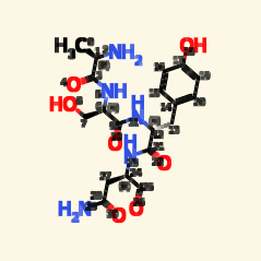 C[C@@H](N)C(=O)N[C@H](CO)C(=O)N[C@H](Cc1ccc(O)cc1)C(=O)N[C@@H]([C]=O)CC(N)=O